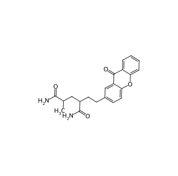 CC(CC(CCc1ccc2oc3ccccc3c(=O)c2c1)C(N)=O)C(N)=O